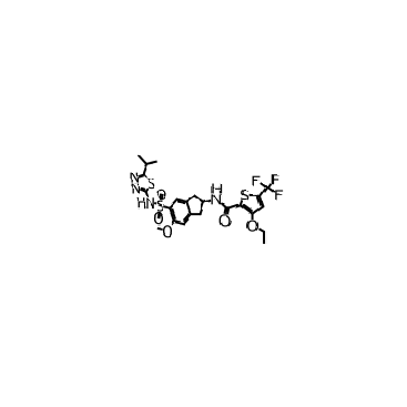 CCOc1cc(C(F)(F)F)sc1C(=O)NC1Cc2cc(OC)c(S(=O)(=O)Nc3nnc(C(C)C)s3)cc2C1